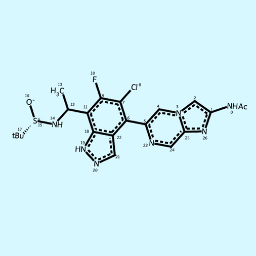 CC(=O)Nc1cn2cc(-c3c(Cl)c(F)c(C(C)N[S@@+]([O-])C(C)(C)C)c4[nH]ncc34)ncc2n1